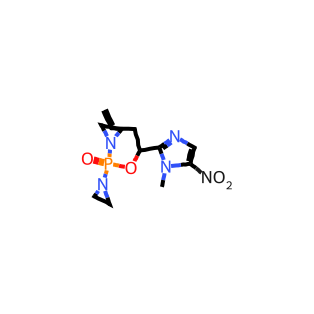 C=CCC(OP(=O)(N1CC1)N1CC1)c1ncc([N+](=O)[O-])n1C